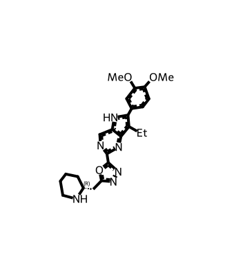 CCc1c(-c2ccc(OC)c(OC)c2)[nH]c2cnc(-c3nnc(C[C@H]4CCCCN4)o3)nc12